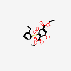 CCOC(=O)C1=CC(=O)C(C(=O)OCC)=C(S(=O)(=O)c2ccccc2CC)C1=O